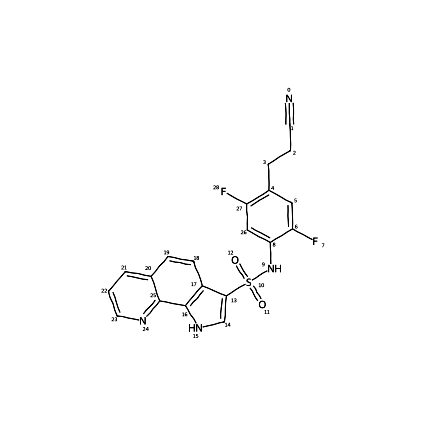 N#CCCc1cc(F)c(NS(=O)(=O)c2c[nH]c3c2ccc2cccnc23)cc1F